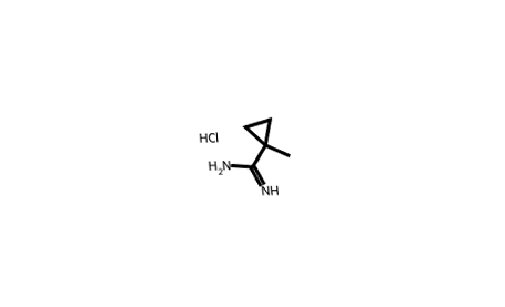 CC1(C(=N)N)CC1.Cl